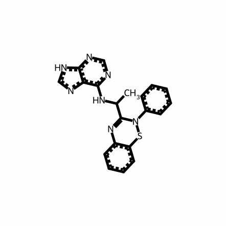 CC(Nc1ncnc2[nH]cnc12)C1=Nc2ccccc2SN1c1ccccc1